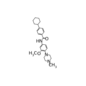 COc1cc(NC(=O)c2ccc(C3CCCCC3)cc2)ccc1N1CCN(C)CC1